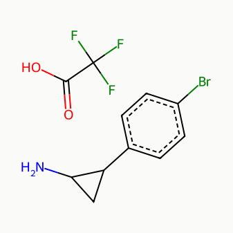 NC1CC1c1ccc(Br)cc1.O=C(O)C(F)(F)F